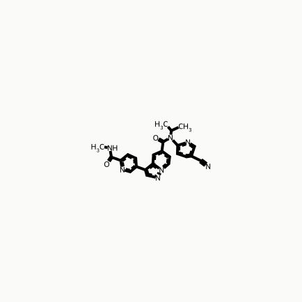 CNC(=O)c1ccc(-c2cnn3ccc(C(=O)N(c4ccc(C#N)cn4)C(C)C)cc23)cn1